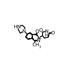 Cc1nn(C2CCC(=O)NC2=O)c(=O)c2cc(N3CCNCC3)ccc12